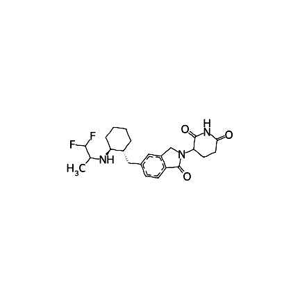 CC(N[C@H]1CCCC[C@@H]1Cc1ccc2c(c1)CN(C1CCC(=O)NC1=O)C2=O)C(F)F